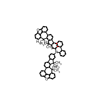 CC1(C)c2cc(N(c3ccc4c(c3)C(C)(C)c3c-4ccc4c3C(C)(C)c3cccc5oc6cccc-4c6c35)c3ccccc3-c3ccccc3)ccc2-c2ccc3c(c21)C(C)(C)c1cccc2oc4cccc-3c4c12